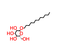 CCCCCCCCCCCCOC1O[C@H](CO)[C@@H](O)[C@H](O)[C@@H]1O